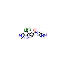 CCc1c(-c2ccnc(C)c2)[nH]c2ccc(C(=O)N3CC4CNCC4C3)cc12.Cl